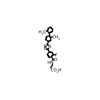 Cc1ccccc1-c1ccc(-c2nc(-c3ccc(C(=O)NCCC(=O)O)c(F)c3)no2)cc1C